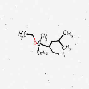 CCO[Si](C)(C)C([CH]C(C)C)CC